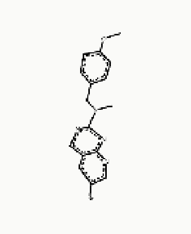 COc1ccc(CN(C)c2ncc3cc(Br)cnc3n2)cc1